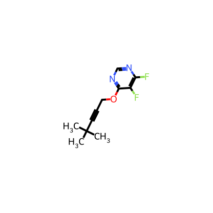 CC(C)(C)C#CCOc1ncnc(F)c1F